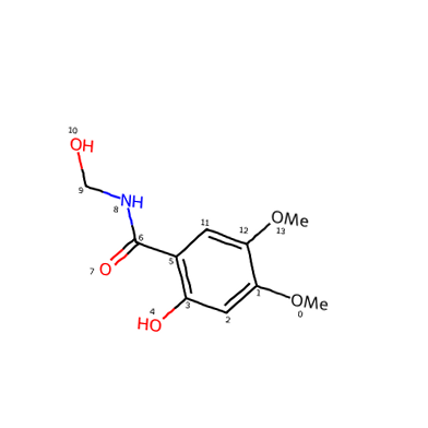 COc1cc(O)c(C(=O)NCO)cc1OC